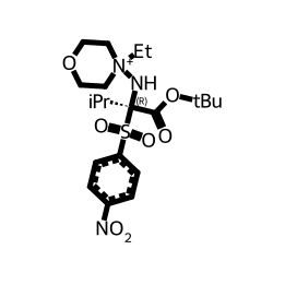 CC[N+]1(N[C@](C(=O)OC(C)(C)C)(C(C)C)S(=O)(=O)c2ccc([N+](=O)[O-])cc2)CCOCC1